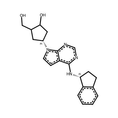 OCC1C[C@@H](n2ccc3c(N[C@@H]4CCc5ccccc54)ncnc32)CC1O